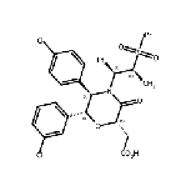 CC[C@@H]([C@H](C)S(=O)(=O)C(C)C)N1C(=O)[C@H](CC(=O)O)O[C@H](c2cccc(Cl)c2)[C@H]1c1ccc(Cl)cc1